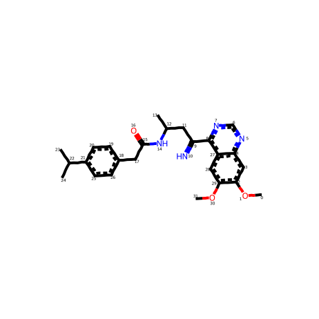 COc1cc2ncnc(C(=N)CC(C)NC(=O)Cc3ccc(C(C)C)cc3)c2cc1OC